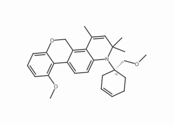 COC[C@@]1(N2c3ccc4c(c3C(C)=CC2(C)C)COc2cccc(OC)c2-4)CC=CCC1